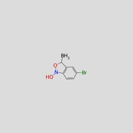 BC1ON(O)c2ccc(Br)cc21